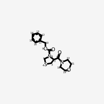 O=C(C1CSCN1C(=O)OCc1ccccc1)N1CCOCC1